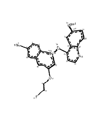 CC(C)(C)c1ccc2c(cc(OCCF)c[n+]2Oc2ccnc3ccc(C(C)(C)C)cc23)c1